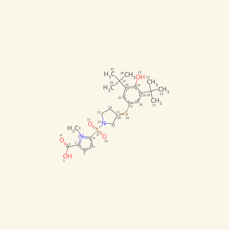 Cn1c(C(=O)O)ccc1S(=O)(=O)N1CC[C@@H](Sc2cc(C(C)(C)C)c(O)c(C(C)(C)C)c2)C1